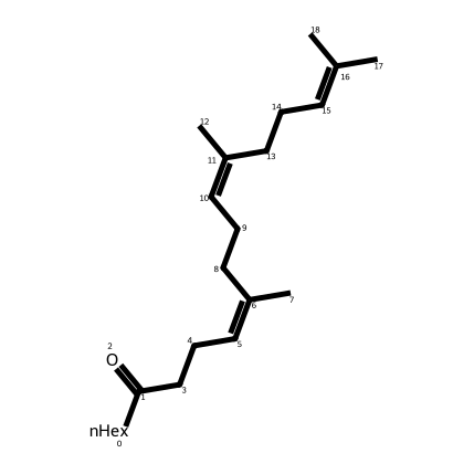 CCCCCCC(=O)CCC=C(C)CCC=C(C)CCC=C(C)C